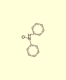 [O-][NH+](c1ccccc1)c1ccccc1